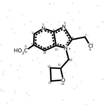 O=C(O)c1cnc2nc(CCl)n(CC3CCO3)c2c1